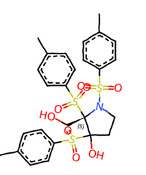 Cc1ccc(S(=O)(=O)N2CCC(O)(S(=O)(=O)c3ccc(C)cc3)[C@]2(CO)S(=O)(=O)c2ccc(C)cc2)cc1